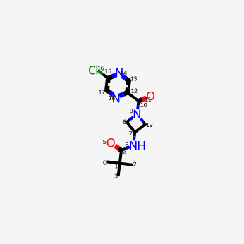 CC(C)(C)C(=O)NC1CN(C(=O)c2cnc(Cl)cn2)C1